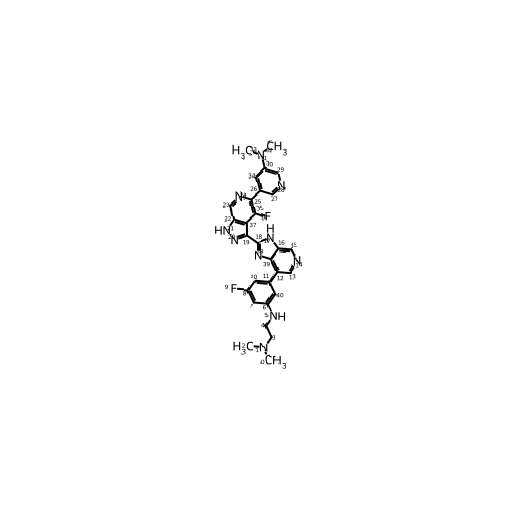 CN(C)CCNc1cc(F)cc(-c2cncc3[nH]c(-c4n[nH]c5cnc(-c6cncc(N(C)C)c6)c(F)c45)nc23)c1